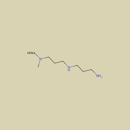 CCCCCCN(C)CCCNCCCN